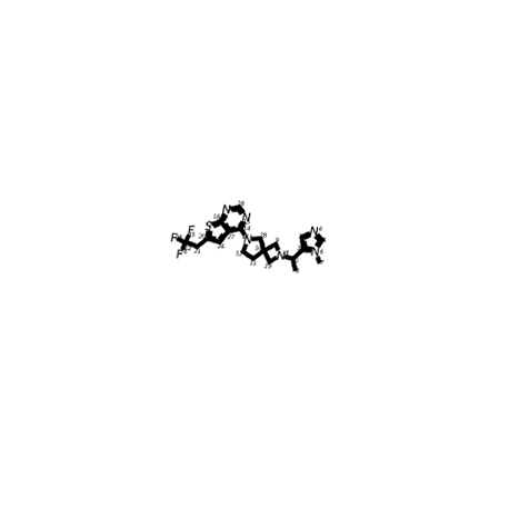 CC(c1cncn1C)N1CC2(CCN(c3ncnc4sc(CC(F)(F)F)cc34)C2)C1